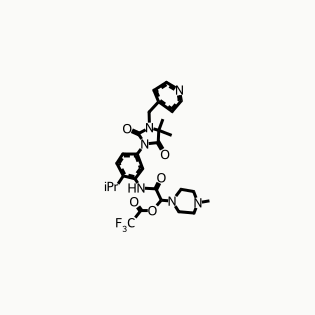 CC(C)c1ccc(N2C(=O)N(Cc3ccncc3)C(C)(C)C2=O)cc1NC(=O)C(OC(=O)C(F)(F)F)N1CCN(C)CC1